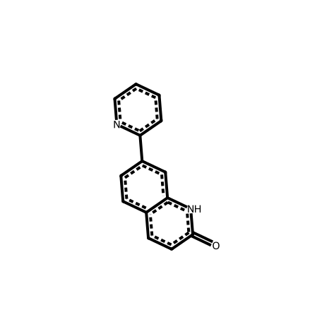 O=c1ccc2ccc(-c3ccccn3)cc2[nH]1